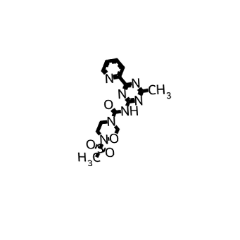 Cc1nc(NC(=O)N2CCN(S(C)(=O)=O)OC2)nc(-c2ccccn2)n1